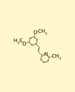 COc1cc(/C=C/c2cccc(C)n2)cc(OC)c1